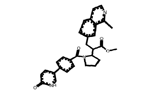 COC(=O)C(Cc1ccc2ccnc(C)c2c1)C1CCCN1C(=O)c1ccc(-c2ccc(=O)[nH]c2)cc1